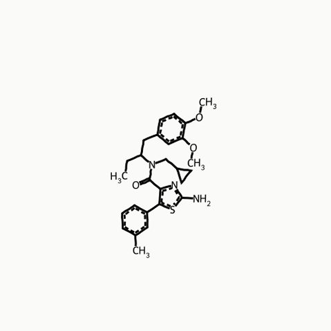 CCC(Cc1ccc(OC)c(OC)c1)N(CC1CC1)C(=O)c1nc(N)sc1-c1cccc(C)c1